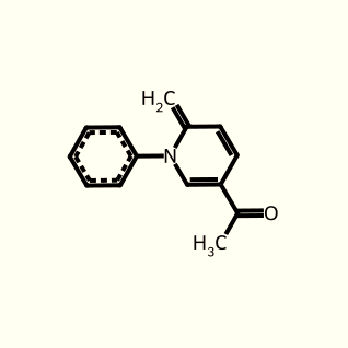 C=C1C=CC(C(C)=O)=CN1c1ccccc1